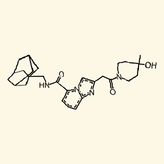 CC1(O)CCN(C(=O)Cc2cn3c(C(=O)NCC45CC6CC(CC(C6)C4)C5)cccc3n2)CC1